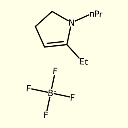 CCCN1CCC=C1CC.F[B-](F)(F)F